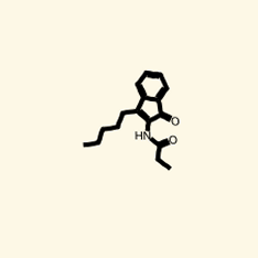 CCCCCC1=C(NC(=O)CC)C(=O)c2ccccc21